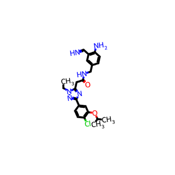 CCn1nc(-c2ccc(Cl)c(OC(C)C)c2)nc1CC(=O)NCc1ccc(N)c(C=N)c1